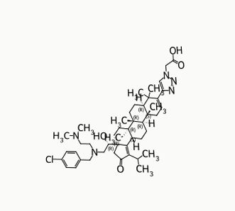 CC[C@@]12CC[C@@]3([C@@H](O)CN(CCN(C)C)Cc4ccc(Cl)cc4)CC(=O)C(C(C)C)=C3[C@H]1CC[C@@H]1[C@@]3(C)CC=C(c4cn(CC(=O)O)nn4)C(C)(C)[C@@H]3CC[C@]12C